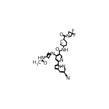 CC(=O)NC12CC(Nc3cc(-c4ccc5cc(C#N)cnn45)ncc3C(=O)NC3CCC(C(=O)N4CC(F)(F)C4)CC3)(C1)C2